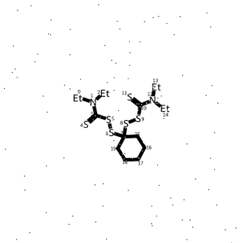 CCN(CC)C(=S)SSC1(SSC(=S)N(CC)CC)CCCCC1